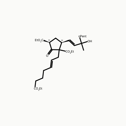 CCCCCC(C)(O)C=C[C@@H]1C[C@H](C(=O)OCC)C(=O)C1(CC=CCCCC(=O)OCC)C(=O)OCC